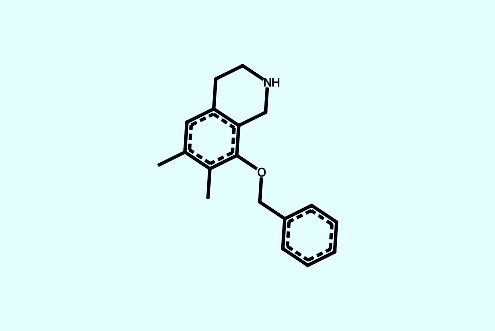 Cc1cc2c(c(OCc3ccccc3)c1C)CNCC2